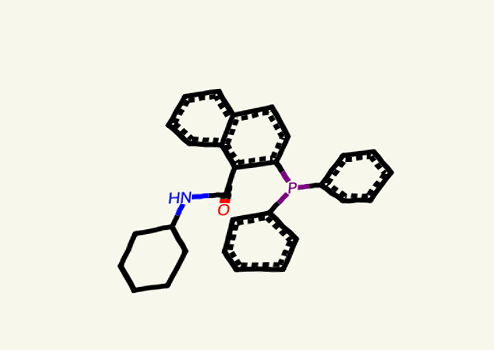 O=C(NC1CCCCC1)c1c(P(c2ccccc2)c2ccccc2)ccc2ccccc12